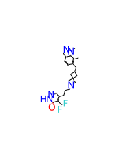 Cc1c(CC2CC3(C2)CN(CCCc2cn[nH]c(=O)c2C(F)F)C3)ccc2cnn(C)c12